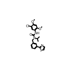 COc1cc(OC)c(NC(=O)N(Cc2cccc(-c3nccs3)c2)C(C)C)cc1Cl